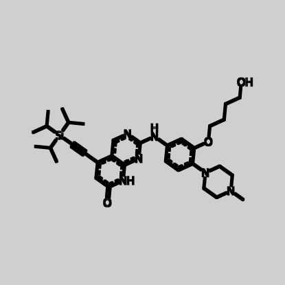 CC(C)[Si](C#Cc1cc(=O)[nH]c2nc(Nc3ccc(N4CCN(C)CC4)c(OCCCCO)c3)ncc12)(C(C)C)C(C)C